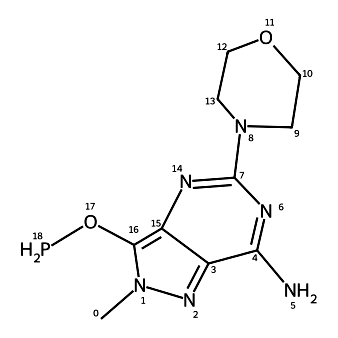 Cn1nc2c(N)nc(N3CCOCC3)nc2c1OP